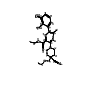 CCOCC1(C#N)CCN(c2nc(C)c(-c3cccc(Cl)c3Cl)nc2C(=O)OCC)CC1